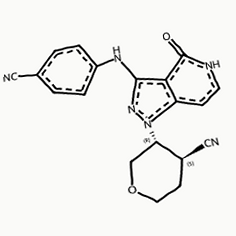 N#Cc1ccc(Nc2nn([C@H]3COCC[C@@H]3C#N)c3cc[nH]c(=O)c23)cc1